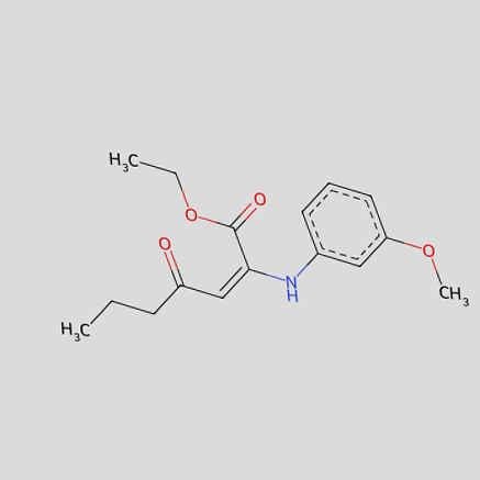 CCCC(=O)C=C(Nc1cccc(OC)c1)C(=O)OCC